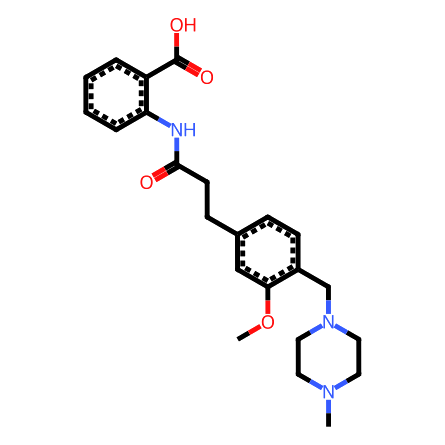 COc1cc(CCC(=O)Nc2ccccc2C(=O)O)ccc1CN1CCN(C)CC1